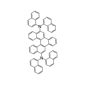 c1ccc2c(N(c3cccc4ccccc34)c3cc4c5ccccc5c5cc(N(c6cccc7ccccc67)c6cccc7ccccc67)c6ccccc6c5c4c4ccccc34)cccc2c1